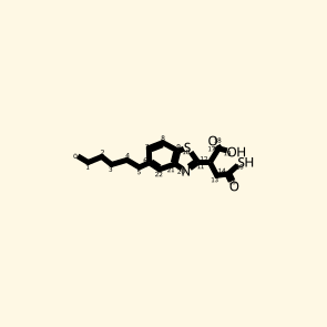 CCCCCCc1ccc2sc(C(CC(=O)S)C(=O)O)nc2c1